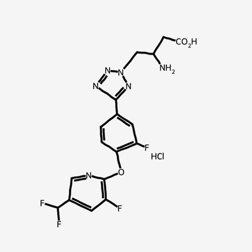 Cl.NC(CC(=O)O)Cn1nnc(-c2ccc(Oc3ncc(C(F)F)cc3F)c(F)c2)n1